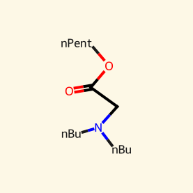 CCCCCOC(=O)CN(CCCC)CCCC